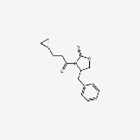 O=C(CCC1CC1)N1C(=O)OCC1Cc1ccccc1